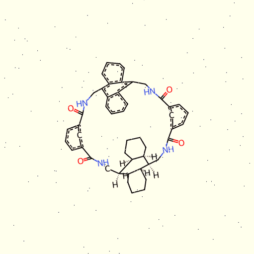 O=C1NCc2c3ccccc3c(c3ccccc23)CNC(=O)c2cccc(c2)C(=O)NC[C@@H]2[C@@H]3CCCC[C@@H]3[C@H](CNC(=O)c3cccc1c3)[C@@H]1CCCC[C@@H]12